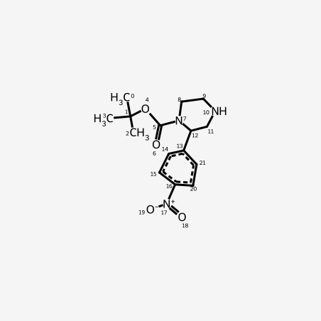 CC(C)(C)OC(=O)N1CCNCC1c1ccc([N+](=O)[O-])cc1